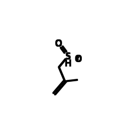 C=C(C)C[SH](=O)=O